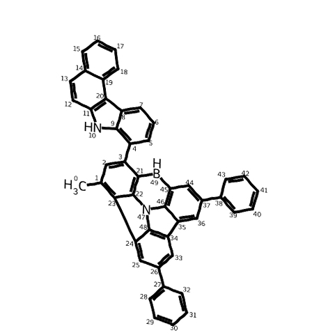 Cc1cc(-c2cccc3c2[nH]c2ccc4ccccc4c23)c2c3c1c1cc(-c4ccccc4)cc4c5cc(-c6ccccc6)cc(c5n3c41)B2